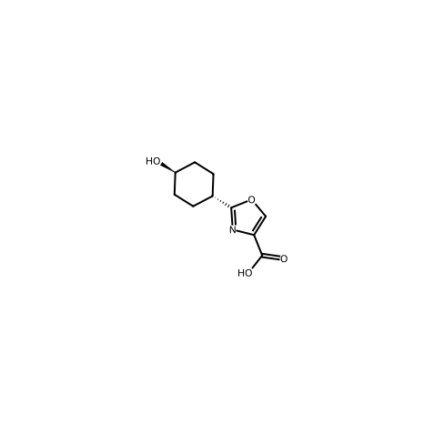 O=C(O)c1coc([C@H]2CC[C@H](O)CC2)n1